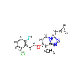 Cc1c(OCCc2c(F)cccc2Cl)ccn2c(CC3CC3)nnc12